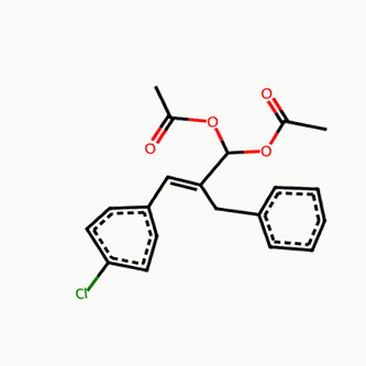 CC(=O)OC(OC(C)=O)/C(=C/c1ccc(Cl)cc1)Cc1ccccc1